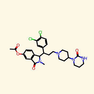 CC(=O)Oc1ccc2c(c1)C(=O)N(C)C2C(CCN1CCC(N2CCCNC2=O)CC1)c1ccc(Cl)c(Cl)c1